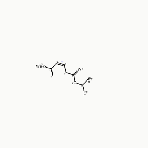 CCCCCCC(C)/C=C\CC(=O)OC(C(C)C)C(C)C